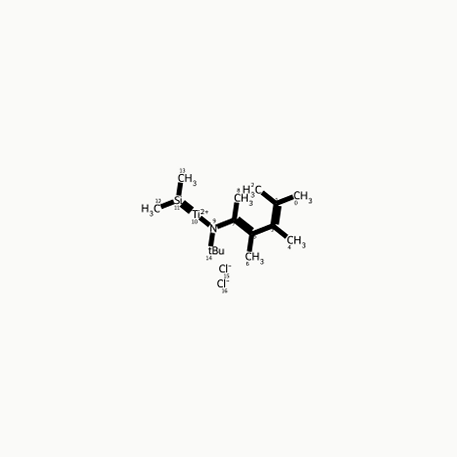 CC(C)=C(C)C(C)=C(C)[N]([Ti+2]=[Si](C)C)C(C)(C)C.[Cl-].[Cl-]